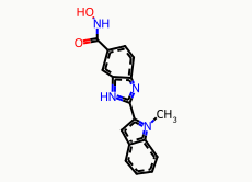 Cn1c(-c2nc3ccc(C(=O)NO)cc3[nH]2)cc2ccccc21